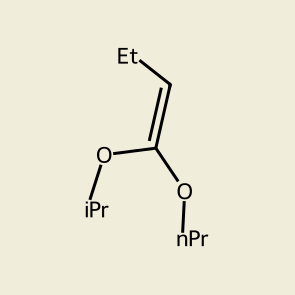 CCC=C(OCCC)OC(C)C